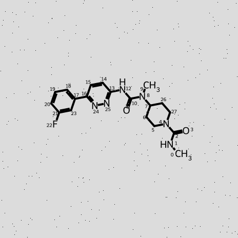 CNC(=O)N1CCC(N(C)C(=O)Nc2ccc(-c3cccc(F)c3)nn2)CC1